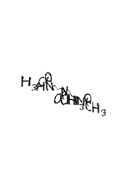 CC(=O)NCCCN(CCCNC(C)=O)C(C)=O